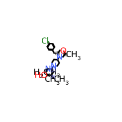 C=N/C(=C\C(=C/C)C(C)(C)O)N1CCC(N2C[C@H](C)OC[C@@H]2Cc2ccc(Cl)cc2)CC1